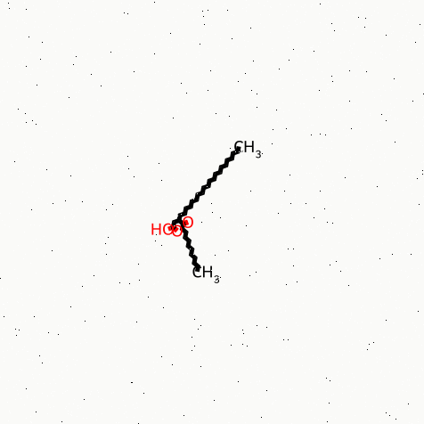 CCCCCCCCCCCCCCCCCCCCCC(CC(=O)O)C(=O)CCCCCCCCCCC